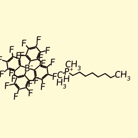 CCCCCCCC[PH+](C)C.Fc1c(F)c(F)c([B-](c2c(F)c(F)c(F)c(F)c2F)(c2c(F)c(F)c(F)c(F)c2F)c2c(F)c(F)c(F)c(F)c2F)c(F)c1F